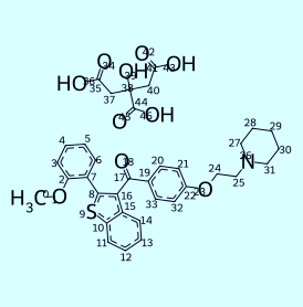 COc1ccccc1-c1sc2ccccc2c1C(=O)c1ccc(OCCN2CCCCC2)cc1.O=C(O)CC(O)(CC(=O)O)C(=O)O